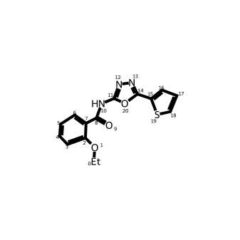 CCOc1ccccc1C(=O)Nc1nnc(-c2cccs2)o1